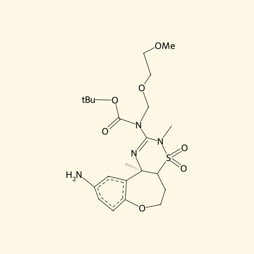 COCCOCN(C(=O)OC(C)(C)C)C1=N[C@]2(C)c3cc(N)ccc3OCCC2S(=O)(=O)N1C